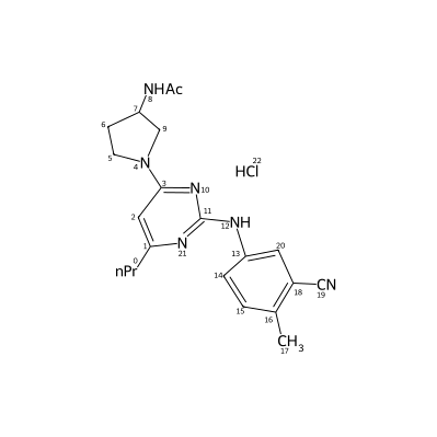 CCCc1cc(N2CCC(NC(C)=O)C2)nc(Nc2ccc(C)c(C#N)c2)n1.Cl